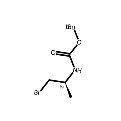 C[C@@H](CBr)NC(=O)OC(C)(C)C